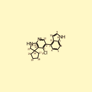 Clc1c(-c2cccc3[nH]ccc23)cnc2c1C1(CCCC1)CN2